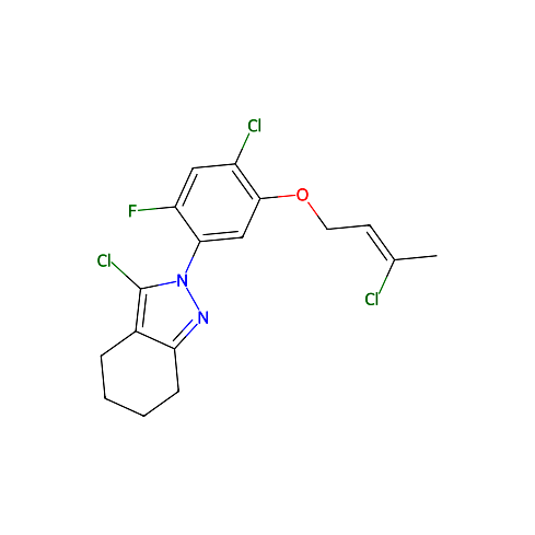 CC(Cl)=CCOc1cc(-n2nc3c(c2Cl)CCCC3)c(F)cc1Cl